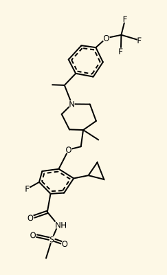 CC(c1ccc(OC(F)(F)F)cc1)N1CCC(C)(COc2cc(F)c(C(=O)NS(C)(=O)=O)cc2C2CC2)CC1